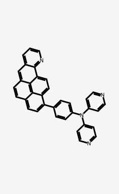 c1cnc2c(c1)cc1ccc3ccc(-c4ccc(N(c5ccncc5)c5ccncc5)cc4)c4ccc2c1c34